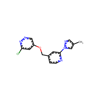 Cc1cnn(-c2cc(COc3cnnc(Cl)c3)ccn2)c1